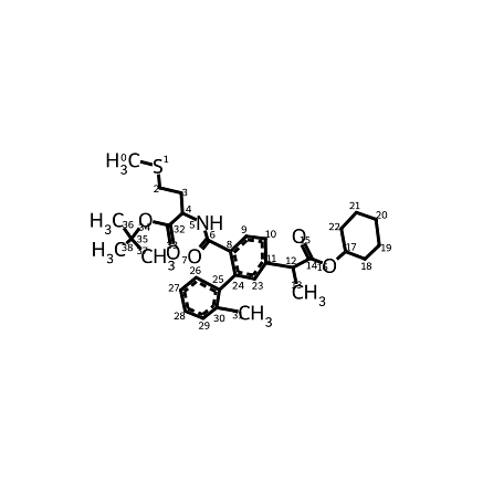 CSCCC(NC(=O)c1ccc(C(C)C(=O)OC2CCCCC2)cc1-c1ccccc1C)C(=O)OC(C)(C)C